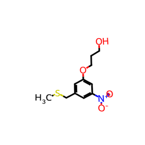 CSCc1cc(OCCCO)cc([N+](=O)[O-])c1